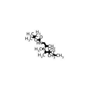 C=C(CNC(=O)OC(C)(C)C)N(C)C(=C)C(C)(C)OCC